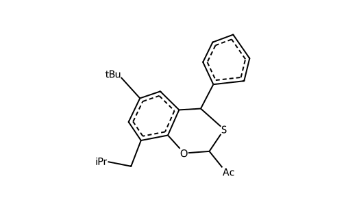 CC(=O)C1Oc2c(CC(C)C)cc(C(C)(C)C)cc2C(c2ccccc2)S1